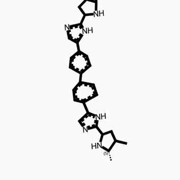 CC1CC(c2ncc(-c3ccc(-c4ccc(-c5cnc(C6CC7CC7N6)[nH]5)cc4)cc3)[nH]2)N[C@H]1C